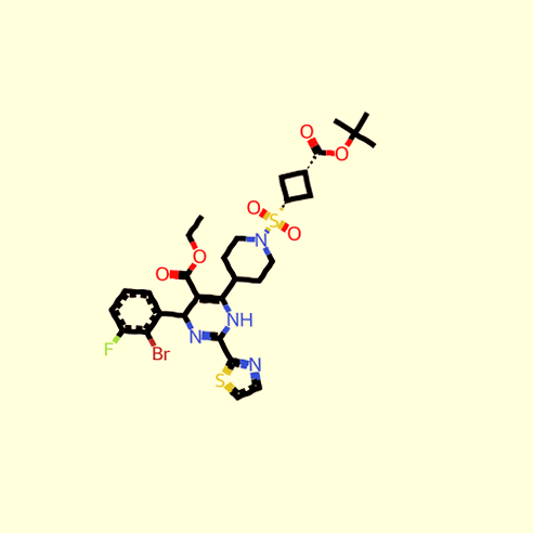 CCOC(=O)C1=C(C2CCN(S(=O)(=O)[C@H]3C[C@@H](C(=O)OC(C)(C)C)C3)CC2)NC(c2nccs2)=NC1c1cccc(F)c1Br